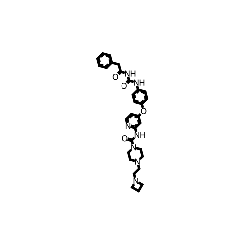 O=C(Cc1ccccc1)NC(=O)Nc1ccc(Oc2ccnc(NC(=O)N3CCN(CCN4CCC4)CC3)c2)cc1